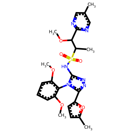 COc1cccc(OC)c1-n1c(NS(=O)(=O)C(C)C(OC)c2ncc(C)cn2)nnc1-c1ccc(C)o1